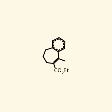 CCOC(=O)C1=C(C)c2ccccc2CCC1